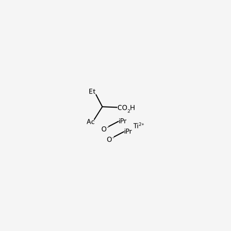 CC(C)[O-].CC(C)[O-].CCC(C(C)=O)C(=O)O.[Ti+2]